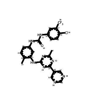 Cc1nc(Nc2cc(NC(=O)Nc3ccc(Cl)c(C(F)(F)F)c3)ccc2C)nc(-c2cncnc2)n1